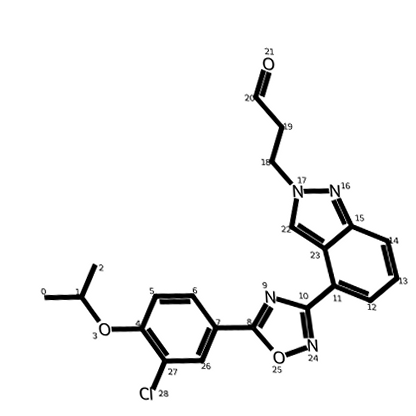 CC(C)Oc1ccc(-c2nc(-c3cccc4nn(CCC=O)cc34)no2)cc1Cl